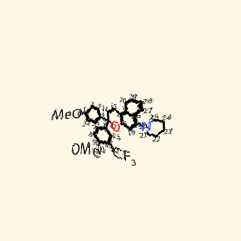 COc1ccc(C2(c3ccc(OC)c(C(F)(F)F)c3)C=Cc3c(cc(N4CCCCC4)c4ccccc34)O2)cc1